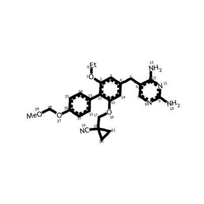 CCOc1cc(Cc2cnc(N)nc2N)cc(OCC2(C#N)CC2)c1-c1ccc(OCOC)cc1